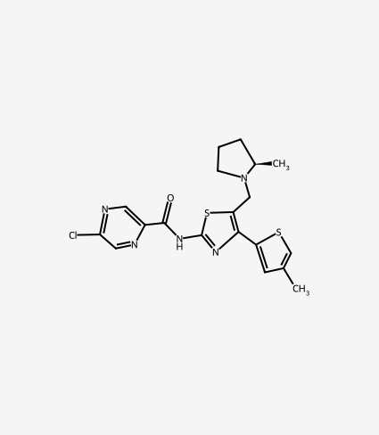 Cc1csc(-c2nc(NC(=O)c3cnc(Cl)cn3)sc2CN2CCC[C@H]2C)c1